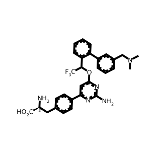 CN(C)Cc1cccc(-c2ccccc2C(Oc2cc(-c3ccc(C[C@H](N)C(=O)O)cc3)nc(N)n2)C(F)(F)F)c1